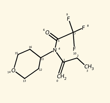 C=C(CC)N(C(=O)C(F)(F)F)C1CCOCC1